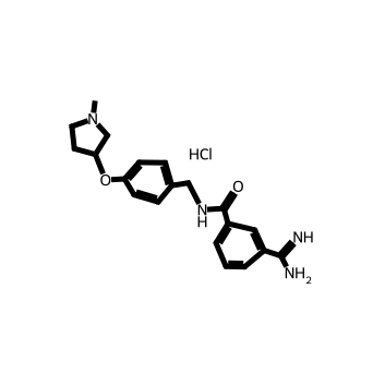 CN1CCC(Oc2ccc(CNC(=O)c3cccc(C(=N)N)c3)cc2)C1.Cl